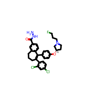 NNC(=O)c1ccc2c(c1)CCCC(c1ccc(Cl)cc1Cl)=C2c1ccc(O[C@H]2CCN(CCCF)C2)cc1